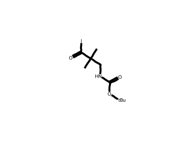 CC(C)(C)OC(=O)NCC(C)(C)C(=O)I